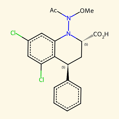 CON(C(C)=O)N1c2cc(Cl)cc(Cl)c2[C@H](c2ccccc2)C[C@H]1C(=O)O